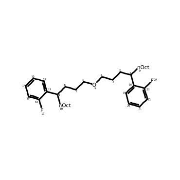 CCCCCCCCC(CCCOCCCC(CCCCCCCC)c1ccccc1F)c1ccccc1F